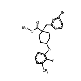 CC(C)(C)OC(=O)[C@]1(Cc2cccc(Br)n2)CC[C@@H](Oc2cccc(C(F)(F)F)c2F)CC1